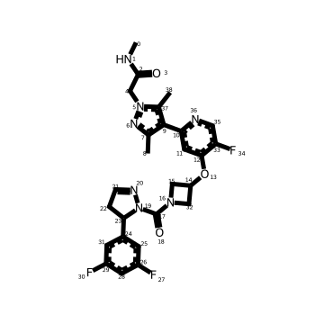 CNC(=O)Cn1nc(C)c(-c2cc(OC3CN(C(=O)N4N=CCC4c4cc(F)cc(F)c4)C3)c(F)cn2)c1C